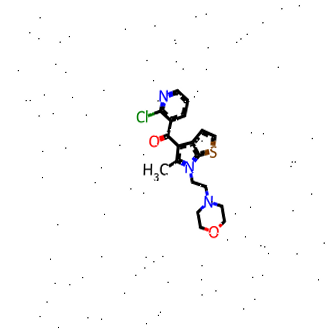 Cc1c(C(=O)c2cccnc2Cl)c2ccsc2n1CCN1CCOCC1